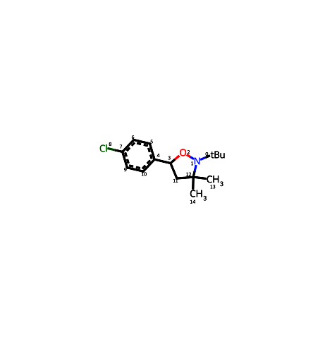 CC(C)(C)N1OC(c2ccc(Cl)cc2)CC1(C)C